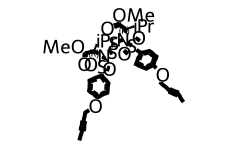 CC#CCOc1ccc(S(=O)(=O)N(SSN([C@@H](C(=O)OC)C(C)C)S(=O)(=O)c2ccc(OCC#CC)cc2)[C@@H](C(=O)OC)C(C)C)cc1